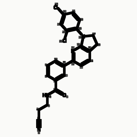 N#CCCNC(=O)c1cccc(-c2ccc3c(n2)N(c2ccc(Cl)cc2Cl)CC3)c1